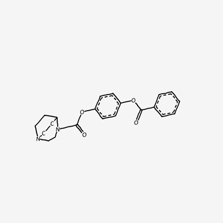 O=C(Oc1ccc(OC(=O)N2CCN3CCC2CC3)cc1)c1ccccc1